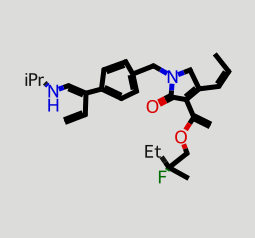 C=C/C(=C\NC(C)C)c1ccc(CN2CC(/C=C\C)=C(C(=C)OCC(C)(F)CC)C2=O)cc1